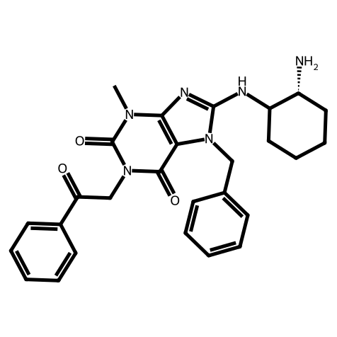 Cn1c(=O)n(CC(=O)c2ccccc2)c(=O)c2c1nc(NC1CCCC[C@H]1N)n2Cc1ccccc1